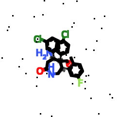 Cc1ccc(F)cc1[C@@H]1CNC(=O)C[C@H](c2cccc(Cl)c2)[C@]1(C=O)c1ccc(Cl)cc1N